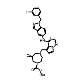 CC(C)(C)OC(=O)N1CCN(Cc2ccn3ncnc(Nc4ccc5c(cnn5Cc5cccc(F)c5)c4)c23)CC(=O)C1